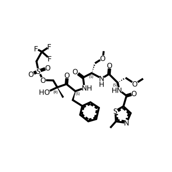 COC[C@H](NC(=O)c1cnc(C)s1)C(=O)N[C@@H](COC)C(=O)N[C@@H](Cc1ccccc1)C(=O)[C@](C)(O)COS(=O)(=O)CC(F)(F)F